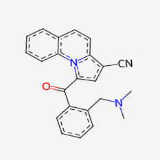 CN(C)Cc1ccccc1C(=O)c1cc(C#N)c2ccc3ccccc3n12